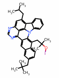 CC(C)Cc1cc2ncnc3c4cc5cc(CC(C)(C)C)ccc5c(CC(C)(C)OI)c4n4c5ccccc5c1c4c23